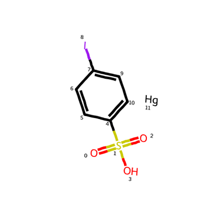 O=S(=O)(O)c1ccc(I)cc1.[Hg]